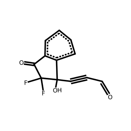 O=CC#CC1(O)c2ccccc2C(=O)C1(F)F